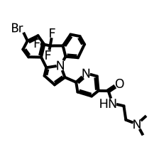 CN(C)CCNC(=O)c1ccc(-c2ccc(-c3ccc(Br)cc3)n2-c2ccccc2C(F)(F)F)nc1